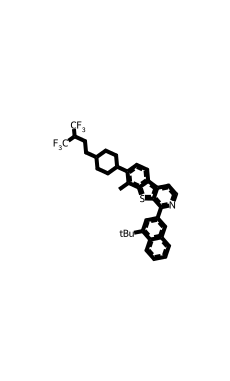 Cc1c(C2CCC(CCC(C(F)(F)F)C(F)(F)F)CC2)ccc2c1sc1c(-c3cc(C(C)(C)C)c4ccccc4c3)nccc12